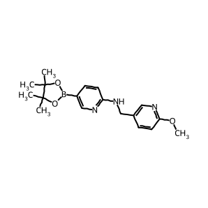 COc1ccc(CNc2ccc(B3OC(C)(C)C(C)(C)O3)cn2)cn1